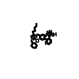 CCCCCc1cn(CC2CCCCC2)c(=O)n1Cc1ccc(-c2ncccc2-c2nnn[nH]2)cc1